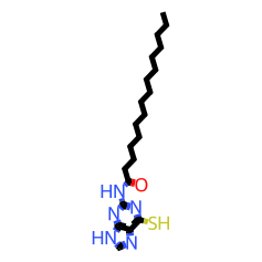 CCCCCCCCCCCCCCCC(=O)Nc1nc(S)c2nc[nH]c2n1